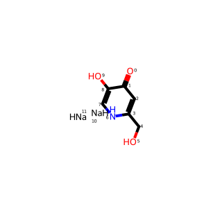 O=c1cc(CO)[nH]cc1O.[NaH].[NaH]